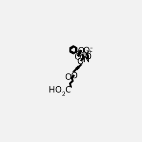 O=C(O)CCCC(=O)OCC#CCOc1no[n+]([O-])c1S(=O)(=O)c1ccccc1